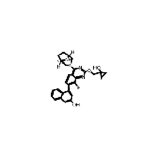 Oc1cc(-c2ccc3c(N4C[C@H]5CC[C@@H](C4)N5)nc(OCC4(O)CC4)nc3c2F)c2ccccc2c1